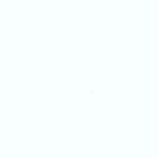 O=C(OCc1ccccc1)N1CC2CC(C1)CC1(C2)OCCO1